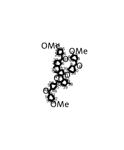 COc1ccc(C(=O)c2ccc(Oc3cc(-c4cc(C(=O)c5ccc(OC)cc5)ccc4C)c(C)cc3-c3cc(C)ccc3C(=O)c3ccc(C(=O)c4ccc(OC)cc4)cc3)cc2)cc1